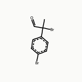 CC(Br)(C=O)c1ccc(Br)cc1